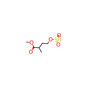 COC(=O)C(C)CCO[SH](=O)=O